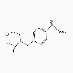 COC(=O)c1ccc(CN2CCOC[C@@H]2C)cc1